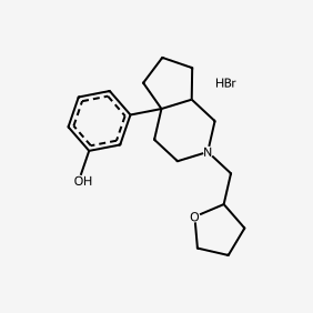 Br.Oc1cccc(C23CCCC2CN(CC2CCCO2)CC3)c1